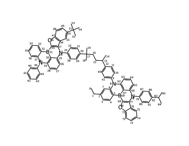 CCc1ccc2c(c1)N(c1ccc(C(C)CCC(C)(C)c3ccc(N4c5cccc6c5B(c5ccccc5N6c5ccccc5)c5oc6ccc(C(C)(C)C)cc6c54)cc3)cc1)c1cccc3c1B2c1oc2ccccc2c1N3c1ccc(C(C)C)cc1